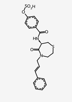 O=C(N[C@H]1CSCCN(CC=Cc2ccccc2)C1=O)c1ccc(OS(=O)(=O)O)cc1